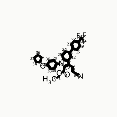 CCOC(=O)c1c(C=CC#N)c2cc(-c3ccc(C(F)(F)F)cc3)ccc2n1-c1ccc(OC2CCCC2)cc1